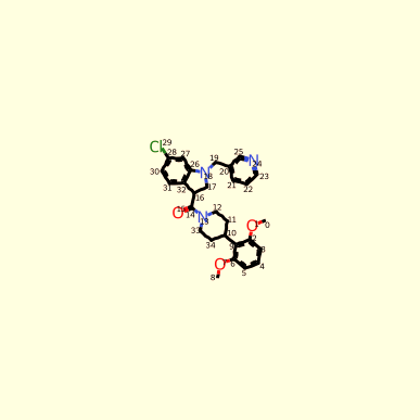 COc1cccc(OC)c1C1CCN(C(=O)C2CN(Cc3cccnc3)c3cc(Cl)ccc32)CC1